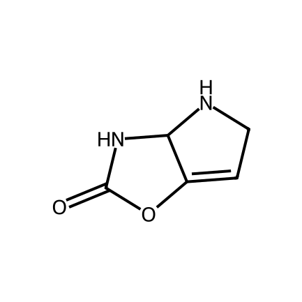 O=C1NC2NCC=C2O1